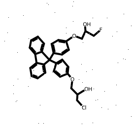 OC(CF)COc1ccc(C2(c3ccc(OCC(O)CCl)cc3)c3ccccc3-c3ccccc32)cc1